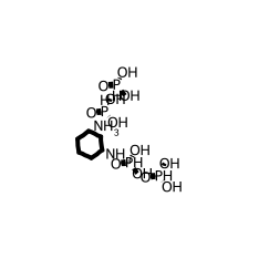 C1CCCCC1.N.N.O=[PH](O)O.O=[PH](O)O.O=[PH](O)O.O=[PH](O)O